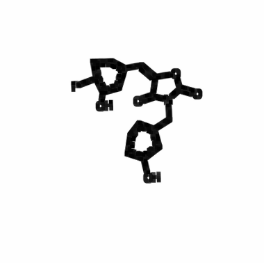 O=C1OC(=Cc2ccc(F)c(O)c2)C(=O)N1Cc1cccc(O)c1